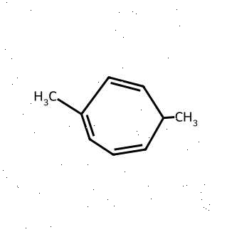 CC1=CC=CC(C)C=C1